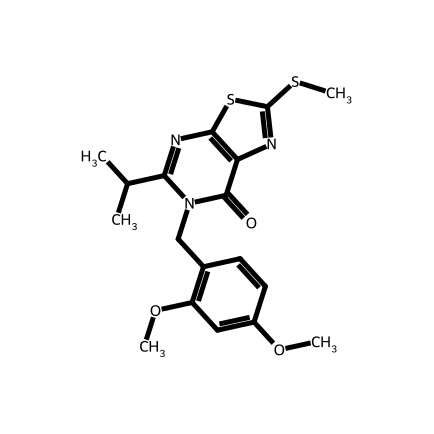 COc1ccc(Cn2c(C(C)C)nc3sc(SC)nc3c2=O)c(OC)c1